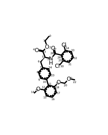 CCOC(=O)[C@H](Cc1ccc(-c2c(OC)cccc2OCOC)cc1)NC(=O)c1c(Cl)cccc1Cl